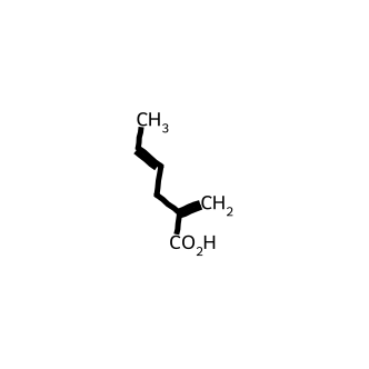 C=C(CC=CC)C(=O)O